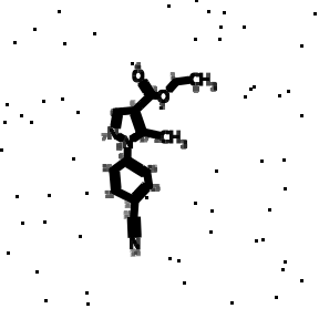 CCOC(=O)c1cnn(-c2ccc(C#N)cc2)c1C